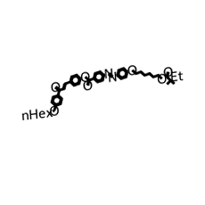 CCCCCCOc1ccc(C(=O)/C=C/c2ccc(OC(=O)c3ccc(/N=N/c4ccc(OCCCCCCOC(=O)C(C)(C)CC)cc4)cc3)cc2)cc1